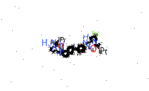 CC(C)[C@H](C)C(=O)N1CC(F)(F)C[C@H]1c1nc2ccc(-c3ccc4c(ccc5nc([C@@H]6CCCN6C(=O)[C@@H](N)C(C)C)[nH]c54)c3)cc2[nH]1